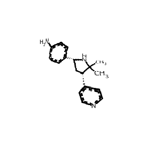 CC1(C)N[C@@H](c2ccc(N)cc2)C[C@H]1c1ccncc1